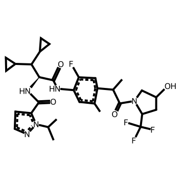 Cc1cc(NC(=O)[C@@H](NC(=O)c2ccnn2C(C)C)C(C2CC2)C2CC2)c(F)cc1C(C)C(=O)N1CC(O)CC1C(F)(F)F